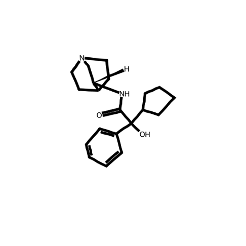 O=C(N[C@H]1CN2CCC1CC2)C(O)(c1ccccc1)C1CCCC1